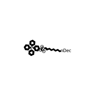 CCCCCCCCCCCCCCCCC=CS(=O)(=O)[O-].c1ccc([P+](c2ccccc2)(c2ccccc2)c2ccccc2)cc1